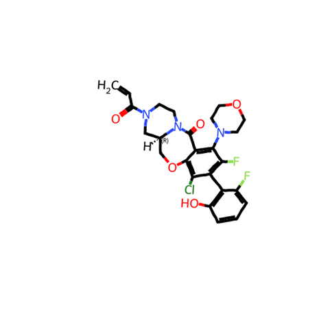 C=CC(=O)N1CCN2C(=O)c3c(c(Cl)c(-c4c(O)cccc4F)c(F)c3N3CCOCC3)OC[C@H]2C1